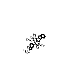 Cc1cc2cc([C@H](C(=O)NC(C)C)N3C(=O)[C@@H](C4Cc5ccccc5C4)NC(=O)[C@H]3CC(C)C)ccc2o1